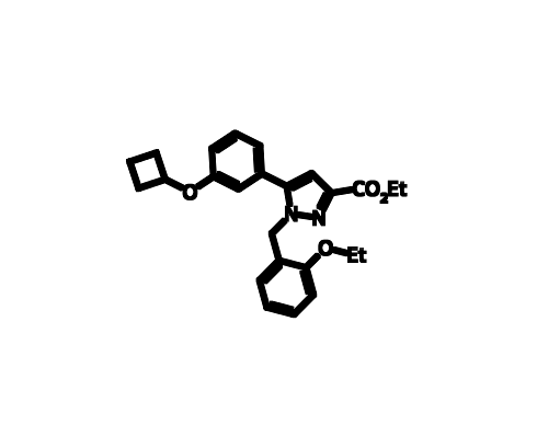 CCOC(=O)c1cc(-c2cccc(OC3CCC3)c2)n(Cc2ccccc2OCC)n1